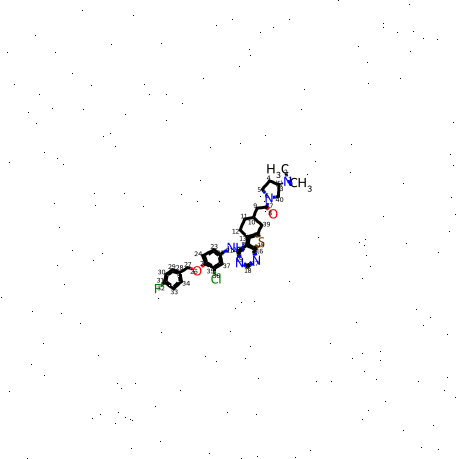 CN(C)[C@H]1CCN(C(=O)CC2CCc3c(sc4ncnc(Nc5ccc(OCc6ccc(F)cc6)c(Cl)c5)c34)C2)C1